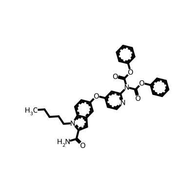 CCCCCn1c(C(N)=O)cc2cc(Oc3ccnc(N(C(=O)Oc4ccccc4)C(=O)Oc4ccccc4)c3)ccc21